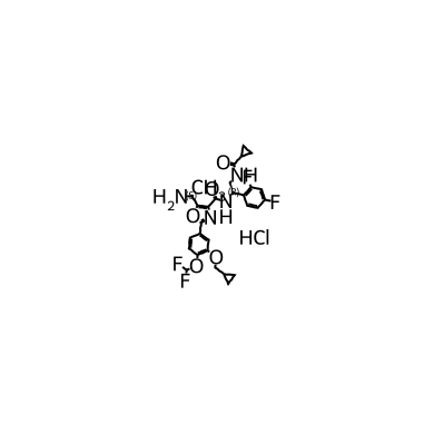 C[C@H](N)c1oc(-c2ccc(OC(F)F)c(OCC3CC3)c2)nc1C(=O)N[C@@H](CNC(=O)C1CC1)c1ccc(F)cc1F.Cl